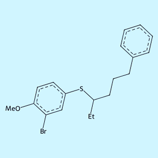 CCC(CCCc1ccccc1)Sc1ccc(OC)c(Br)c1